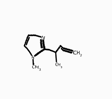 C=CC(C)c1nccn1C